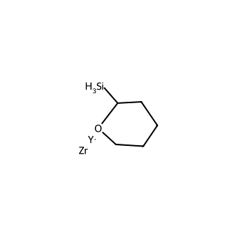 [SiH3]C1CCCCO1.[Y].[Zr]